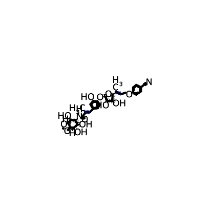 C/C(=C\c1ccc(O[C@@H]2O[C@H](/C(C)=C/COc3ccc(C#N)cc3)[C@@H](O)[C@@H]2O)c(O)c1)C(=O)N[C@@H]1[C@H](O)[C@@H](O)[C@H]2OCO[C@H]2[C@@H]1O